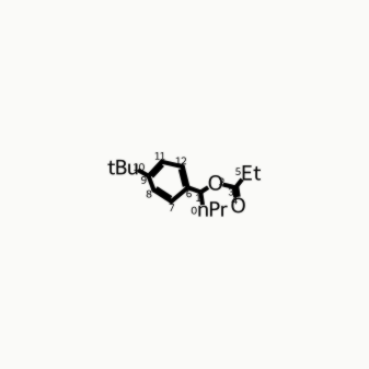 CCCC(OC(=O)CC)c1ccc(C(C)(C)C)cc1